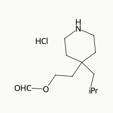 CC(C)CC1(CCOC=O)CCNCC1.Cl